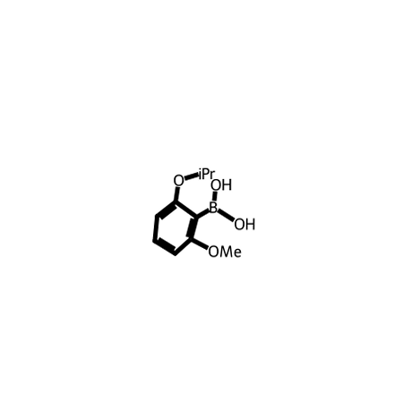 COc1cccc(OC(C)C)c1B(O)O